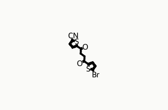 N#Cc1ccc(C(=O)CCC(=O)c2ccc(Br)s2)s1